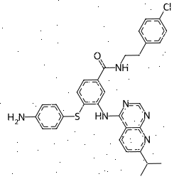 CC(C)c1ccc2c(Nc3cc(C(=O)NCCc4ccc(Cl)cc4)ccc3Sc3ccc(N)cc3)ncnc2n1